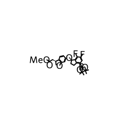 COC(=O)C[C@@H]1COc2cc(O[C@@H]3CCc4c(B5OC(C)(C)C(C)(C)O5)cc(F)c(F)c43)ccc21